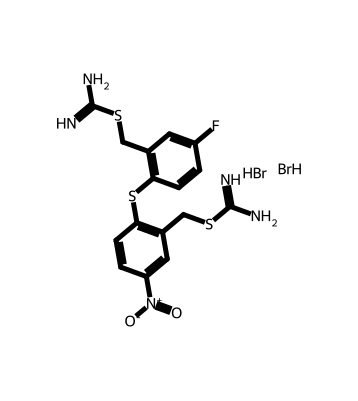 Br.Br.N=C(N)SCc1cc(F)ccc1Sc1ccc([N+](=O)[O-])cc1CSC(=N)N